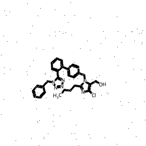 CCCCc1nc(Cl)c(CO)n1Cc1ccc(-c2ccccc2-c2nnnn2Cc2ccccc2)cc1